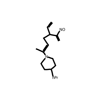 C=CC(C/C=C(\C)N1CCC(CCC)CC1)C(=C)N=O